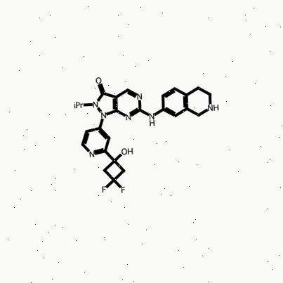 CC(C)n1c(=O)c2cnc(Nc3ccc4c(c3)CNCC4)nc2n1-c1ccnc(C2(O)CC(F)(F)C2)c1